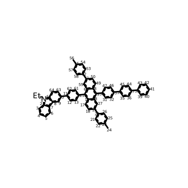 CCn1c2ccccc2c2cc(-c3ccc(-c4c5ccc(-c6ccc(C)cc6)cc5c(-c5ccc(-c6ccc(-c7ccccc7)cc6)cc5)c5ccc(-c6ccc(C)cc6)cc45)cc3)ccc21